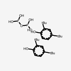 CC(C)(C)c1ccc(O)c(C(C)(C)C)c1.CC(C)(C)c1ccc(O)c(C(C)(C)C)c1.OP(O)OP(O)O